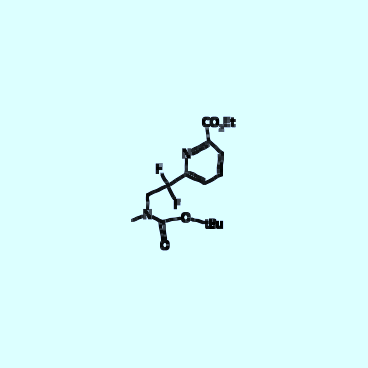 CCOC(=O)c1cccc(C(F)(F)CN(C)C(=O)OC(C)(C)C)n1